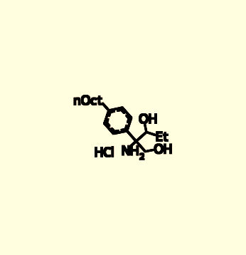 CCCCCCCCc1ccc(C(N)(CO)C(O)CC)cc1.Cl